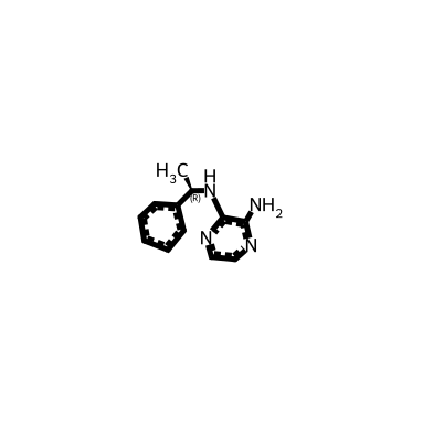 C[C@@H](Nc1nccnc1N)c1ccccc1